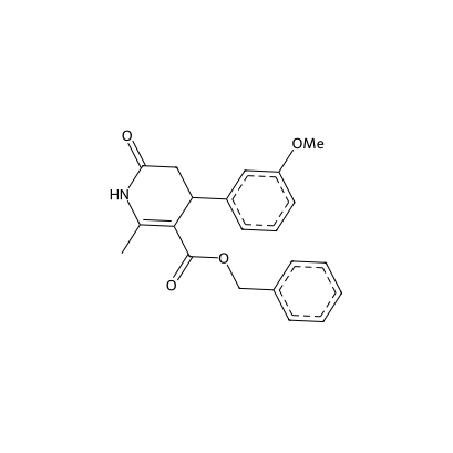 COc1cccc(C2CC(=O)NC(C)=C2C(=O)OCc2ccccc2)c1